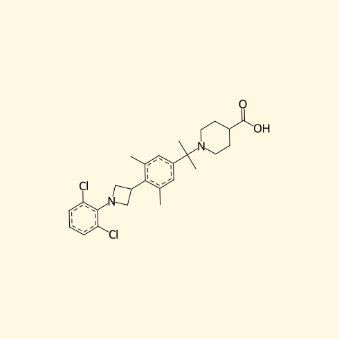 Cc1cc(C(C)(C)N2CCC(C(=O)O)CC2)cc(C)c1C1CN(c2c(Cl)cccc2Cl)C1